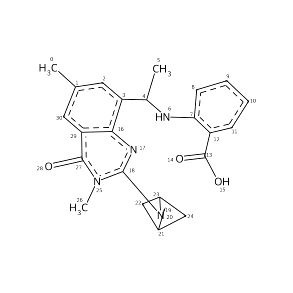 Cc1cc(C(C)Nc2ccccc2C(=O)O)c2nc(N3CC4CC3C4)n(C)c(=O)c2c1